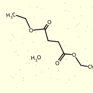 CCOC(=O)CCC(=O)OCC.O